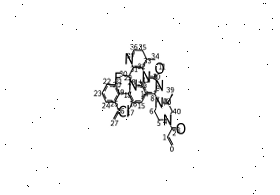 C=CC(=O)N1CCN(c2nc(=O)n3c4c2cc(Cl)c(-c2c(F)cccc2C=C)[n+]4C(C)C2=C3C(C)CC=N2)[C@@H](C)C1